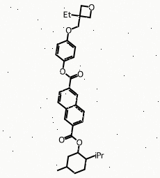 CCC1(COc2ccc(OC(=O)c3ccc4cc(C(=O)OC5CC(C)CCC5C(C)C)ccc4c3)cc2)COC1